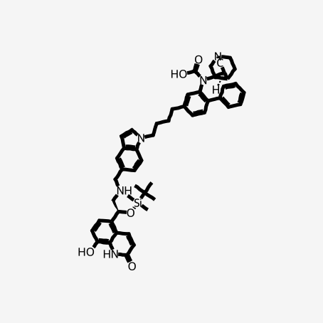 CC(C)(C)[Si](C)(C)O[C@H](CNCc1ccc2c(ccn2CCCCc2ccc(-c3ccccc3)c(N(C(=O)O)[C@H]3CN4CCC3CC4)c2)c1)c1ccc(O)c2[nH]c(=O)ccc12